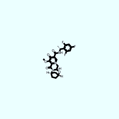 COc1c2n(cc(C(=O)N[C@H](C)c3c(F)cc(F)cc3F)c1=O)C[C@H]1O[C@H]3CC[C@@H](CC3)N1C2=O